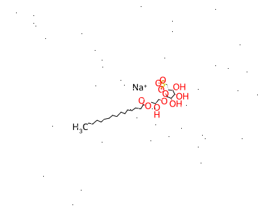 CCCCCCCCCCCCCCCC(=O)OCC(O)CO[C@@H]1O[C@H](CS(=O)(=O)[O-])[C@@H](O)[C@H](O)[C@H]1O.[Na+]